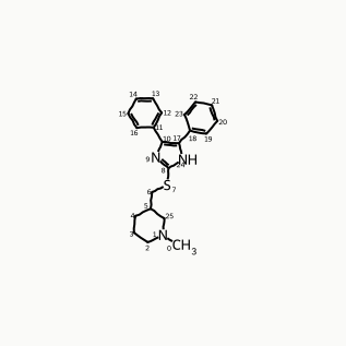 CN1CCCC(CSc2nc(-c3ccccc3)c(-c3ccccc3)[nH]2)C1